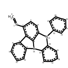 C=Nc1ccc2c3c1-c1ccccc1B3c1ccccc1N2c1ccccc1